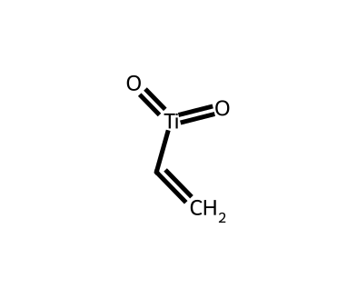 C=[CH][Ti](=[O])=[O]